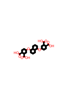 O=C(O)c1ccc(Oc2cccc3c(Oc4ccc(C(=O)O)c(C(=O)O)c4)cccc23)cc1C(=O)O